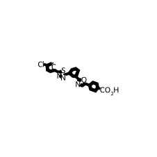 O=C(O)c1ccc(-c2cnc(-c3cccc(-c4nnc(-c5ccc(Cl)cc5)s4)c3)o2)cc1